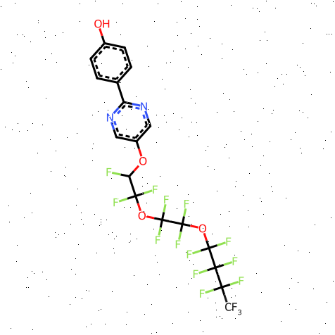 Oc1ccc(-c2ncc(OC(F)C(F)(F)OC(F)(F)C(F)(F)OC(F)(F)C(F)(F)C(F)(F)C(F)(F)F)cn2)cc1